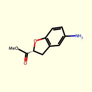 COC(=O)[C@H]1Cc2cc(N)ccc2O1